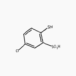 O=S(=O)(O)c1cc(Cl)ccc1S